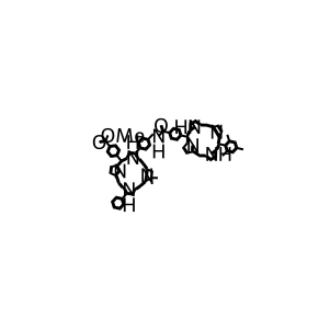 COC(=O)c1ccc(-c2c3nc(cc4[nH]c(cc5nc(cc6[nH]c2cc6-c2ccc(CNC(=O)c6ccc(-c7c8nc(cc9ccc([nH]9)c(-c9c(C)cc(C)cc9C)c9nc(cc%10ccc7[nH]%10)C=C9)C=C8)cc6)cc2)CC5(C)C)cc4-c2ccccc2)C=C3)cc1